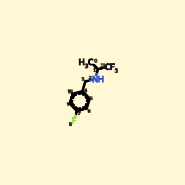 CC(NCc1ccc(F)cc1)C(F)(F)F